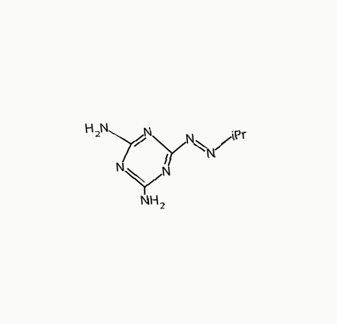 CC(C)/N=N/c1nc(N)nc(N)n1